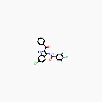 O=C(Nc1c(C(=O)c2ccccc2)[nH]c2cc(Cl)ccc12)c1cc(F)c(F)c(F)c1